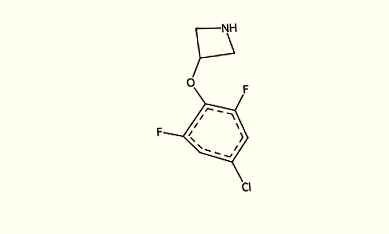 Fc1cc(Cl)cc(F)c1OC1CNC1